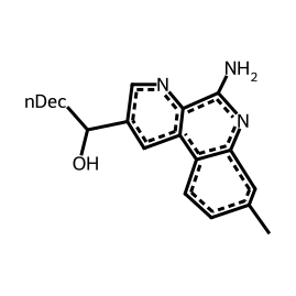 CCCCCCCCCCC(O)c1cnc2c(N)nc3cc(C)ccc3c2c1